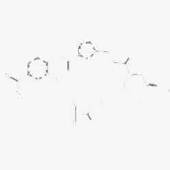 C=CCN(CC(=O)O)C(=O)CCc1ccc(C(=O)Oc2ccc(C(=N)N)cc2F)s1.O=C(O)C(F)(F)F